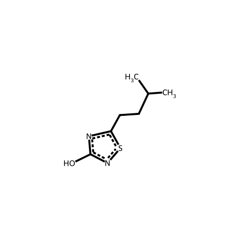 CC(C)CCc1nc(O)ns1